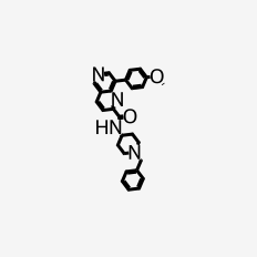 COc1ccc(-c2cncc3ccc(C(=O)NC4CCN(Cc5ccccc5)CC4)nc23)cc1